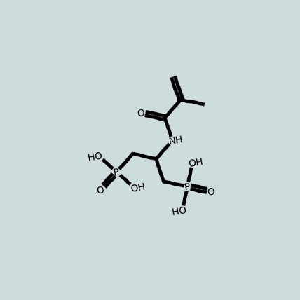 C=C(C)C(=O)NC(CP(=O)(O)O)CP(=O)(O)O